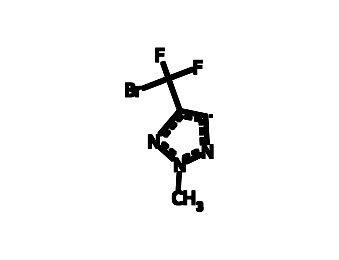 Cn1n[c]c(C(F)(F)Br)n1